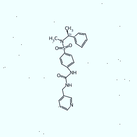 C[C@@H](c1ccccc1)N(C)S(=O)(=O)c1ccc(NC(=O)NCc2cccnc2)cc1